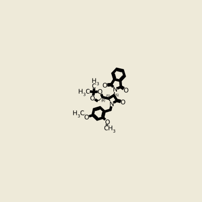 COc1ccc(CN2C(=O)[C@@H](N3C(=O)c4ccccc4C3=O)[C@H]2[C@@H]2COC(C)(C)O2)c(OC)c1